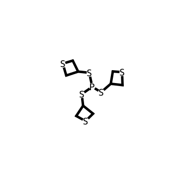 C1SCC1SP(SC1CSC1)SC1CSC1